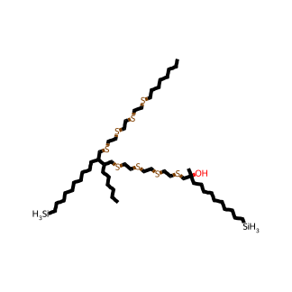 CCCCCCCCSCCSCCSCCSCC(CCCCCCCCCC[SiH3])C(CCCCCC)CSCCSCCSCCSCC(C)(O)CCCCCCCCCC[SiH3]